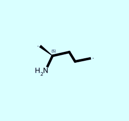 [CH2]CC[C@H]([CH2])N